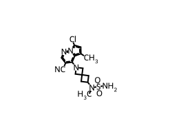 Cc1cc(Cl)n2ncc(C#N)c(N3CC4(CC(N(C)S(N)(=O)=O)C4)C3)c12